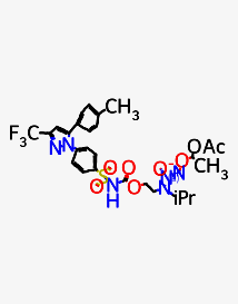 CC(=O)OC(C)O/N=[N+](\[O-])N(CCOC(=O)NS(=O)(=O)c1ccc(-n2nc(C(F)(F)F)cc2-c2ccc(C)cc2)cc1)C(C)C